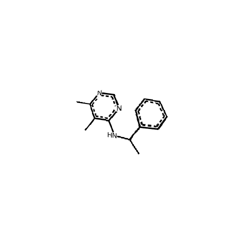 Cc1ncnc(NC(C)c2ccccc2)c1C